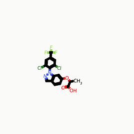 CC(Oc1ccc2cnn(-c3c(Cl)cc(C(F)(F)F)cc3Cl)c2c1)C(=O)O